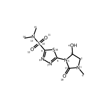 CN1CC(O)N(c2nnc(S(=O)(=O)N(C)C)s2)C1=O